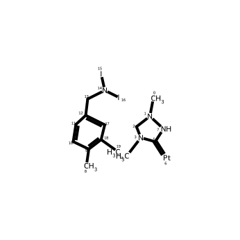 CN1CN(C)[C](=[Pt])N1.Cc1ccc(CN(I)I)cc1C